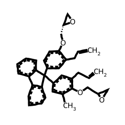 C=CCc1cc(C2(c3cc(C)c(OCC4CO4)c(CC=C)c3)c3ccccc3-c3ccccc32)ccc1OC[C@@H]1CO1